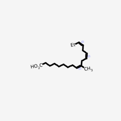 CC/C=C\C/C=C\C/C(C)=C\CCCCCCCC(=O)O